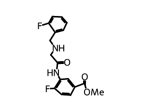 COC(=O)c1ccc(F)c(NC(=O)CNCc2ccccc2F)c1